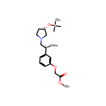 CN[C@H](CN1CC[C@H](O[Si](C)(C)C(C)(C)C)C1)c1cccc(OCC(=O)OC(C)(C)C)c1